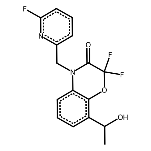 CC(O)c1cccc2c1OC(F)(F)C(=O)N2Cc1cccc(F)n1